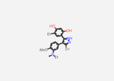 CCc1cc(-c2[nH]nc(S)c2-c2ccc(OC)c(N(C)CC)c2)c(O)cc1O